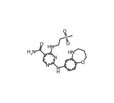 CS(=O)(=O)CCNc1nc(Nc2ccc3c(c2)NCCCO3)ncc1C(N)=O